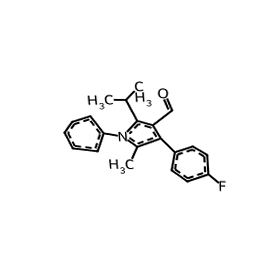 Cc1c(-c2ccc(F)cc2)c(C=O)c(C(C)C)n1-c1ccccc1